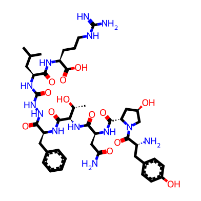 CC(C)C[C@H](NC(=O)NNC(=O)[C@H](Cc1ccccc1)NC(=O)[C@@H](NC(=O)[C@H](CC(N)=O)NC(=O)[C@@H]1C[C@@H](O)CN1C(=O)[C@H](N)Cc1ccc(O)cc1)[C@@H](C)O)C(=O)N[C@@H](CCCNC(=N)N)C(=O)O